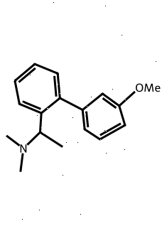 COc1cccc(-c2ccccc2C(C)N(C)C)c1